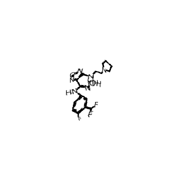 ON=C(Nc1ccc(F)c(C(F)F)c1)c1nonc1NCCN1CCCC1